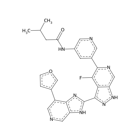 CC(C)CC(=O)Nc1cncc(-c2ncc3[nH]nc(-c4nc5c(-c6ccoc6)cncc5[nH]4)c3c2F)c1